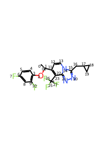 C[C@H](Oc1ccc(F)cc1F)c1ccn2c(CC3CC3)nnc2c1C(F)(F)F